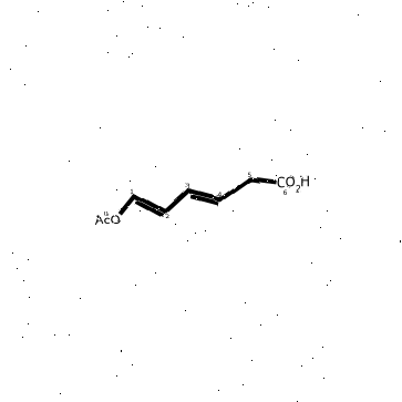 CC(=O)OC=CC=CCC(=O)O